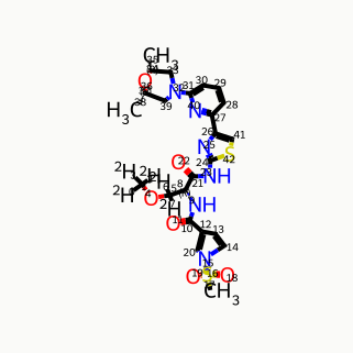 [2H]C([2H])([2H])OC([2H])([2H])[C@@H](NC(=O)c1ccn(S(C)(=O)=O)c1)C(=O)Nc1nc(-c2cccc(N3C[C@@H](C)O[C@@H](C)C3)n2)cs1